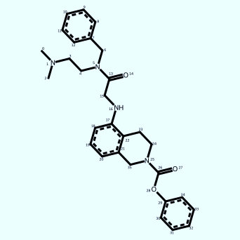 CN(C)CCN(Cc1ccccc1)C(=O)CNc1cccc2c1CCN(C(=O)Oc1ccccc1)C2